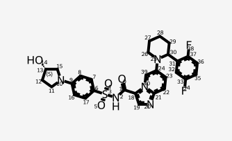 O=C(NS(=O)(=O)c1ccc(N2CC[C@H](O)C2)cc1)c1cnc2ccc(N3CCCCC3c3cc(F)ccc3F)cn12